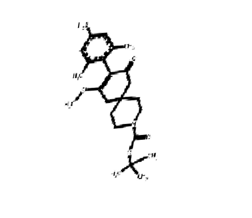 Bc1cc(C)c(C2=C(OC)CC3(CCN(C(=O)OC(C)(C)C)CC3)CC2=O)c(C)c1